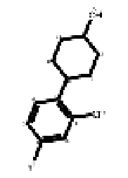 OC1CC[C](c2ccc(Cl)cc2Cl)CC1